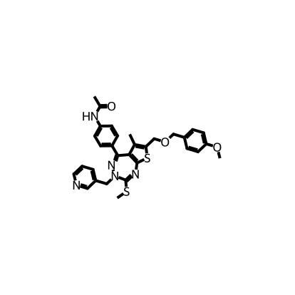 COc1ccc(COCc2sc3c(c2C)C(c2ccc(NC(C)=O)cc2)=NN(Cc2cccnc2)C(SC)=N3)cc1